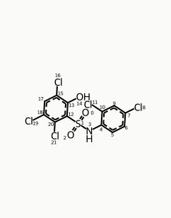 O=S(=O)(Nc1ccc(Cl)cc1Cl)c1c(O)c(Cl)cc(Cl)c1Cl